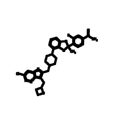 CC1(c2ccc(C(N)=O)cc2F)Oc2cccc(C3CCN(Cc4nc5cc(Cl)nnc5n4CC4CCO4)CC3)c2O1